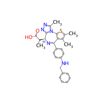 Cc1sc2c(c1C)C(c1ccc(NCc3ccccc3)cc1)=N[C@@H](C(C)C(=O)O)c1nnc(C)n1-2